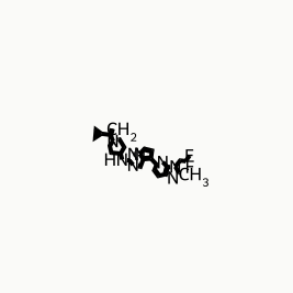 C=C(C1CC1)N1CCC(Nc2ncc3c(-c4ccc5nc(C)n(CC(F)F)c5n4)ccn3n2)CC1